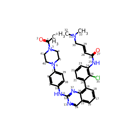 CC(=O)N1CCN(c2ccc(Nc3ncc4cccc(-c5cccc(NC(=O)C=CCN(C)C)c5Cl)c4n3)cc2)CC1